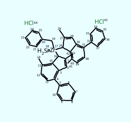 CC1=Cc2c(-c3ccccc3)ccc(C)c2[CH]1[Zr](=[SiH2])([CH2]c1ccccc1)[CH]1C(C)=Cc2c(-c3ccccc3)ccc(C)c21.Cl.Cl